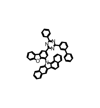 c1ccc(-c2cccc(-c3nc(-c4ccccc4)nc(-c4cc(-n5c6cc7ccccc7cc6c6ccc7ccccc7c65)c5oc6ccccc6c5c4)n3)c2)cc1